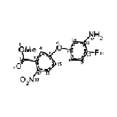 COC(=O)c1cc(Oc2ccc(F)c(N)c2)ccc1[N+](=O)[O-]